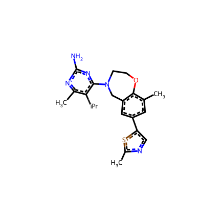 Cc1ncc(-c2cc(C)c3c(c2)CN(c2nc(N)nc(C)c2C(C)C)CCO3)s1